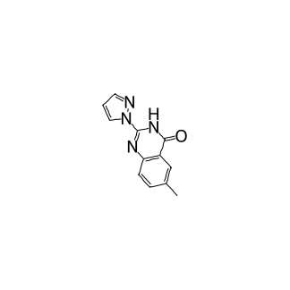 Cc1ccc2nc(-n3cccn3)[nH]c(=O)c2c1